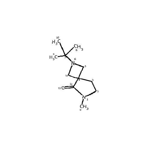 CN1CCC2(CN(C(C)(C)C)C2)C1=O